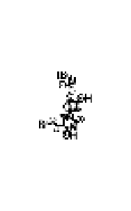 CC(C)(C)OC(=O)OC[C@@H]1O[C@H](n2cc(C=CBr)c(=O)[nH]c2=O)CC1O